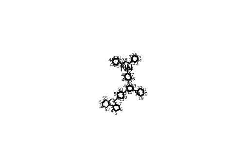 CC1=C(c2ccccc2Cc2ccc(-c3cc(-c4ccccc4)cc(-c4ccc(-c5nc(-c6ccccc6)cc(-c6ccccc6)n5)cc4)c3)cc2)CCC=C1